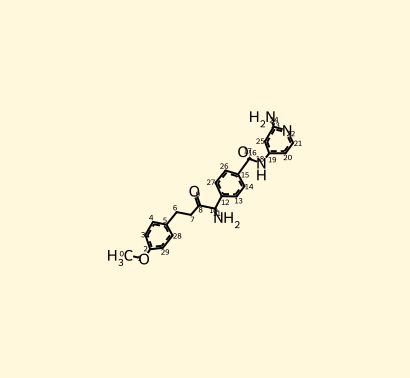 COc1ccc(CCC(=O)C(N)c2ccc(C(=O)Nc3ccnc(N)c3)cc2)cc1